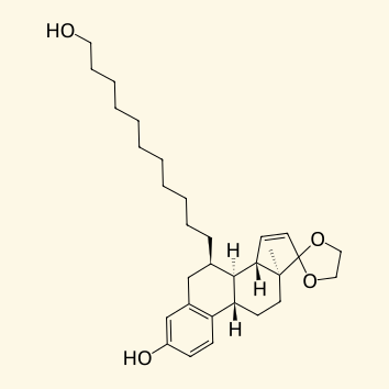 C[C@]12CC[C@@H]3c4ccc(O)cc4C[C@@H](CCCCCCCCCCCO)[C@H]3[C@@H]1C=CC21OCCO1